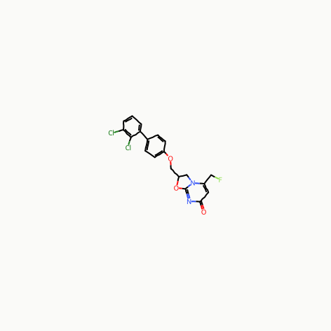 O=c1cc(CF)n2c(n1)OC(COc1ccc(-c3cccc(Cl)c3Cl)cc1)C2